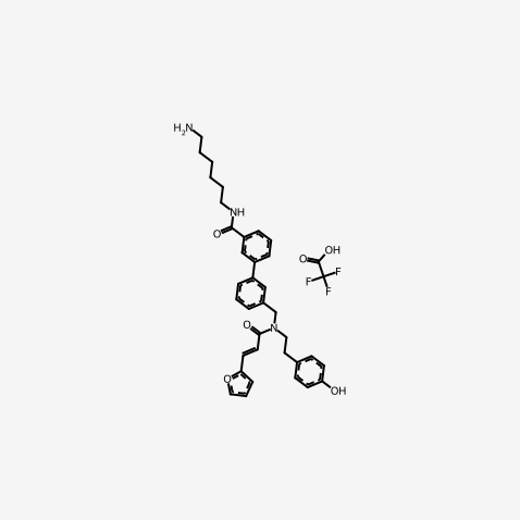 NCCCCCCNC(=O)c1cccc(-c2cccc(CN(CCc3ccc(O)cc3)C(=O)C=Cc3ccco3)c2)c1.O=C(O)C(F)(F)F